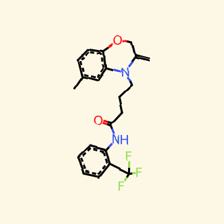 C=C1COc2ccc(C)cc2N1CCCC(=O)Nc1ccccc1C(F)(F)F